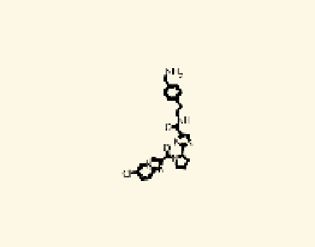 NCc1ccc(CCNC(=O)c2csc(C3CCCN3C(=O)c3cn4cc(Cl)ccc4n3)n2)cc1